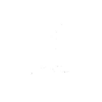 CCCCCCCN(CCOc1ccc(CC(OCC)C(=O)O)cc1)C(=O)Nc1ccc(Br)cc1